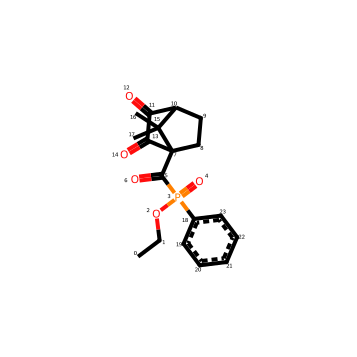 CCOP(=O)(C(=O)C12CCC(C(=O)C1=O)C2(C)C)c1ccccc1